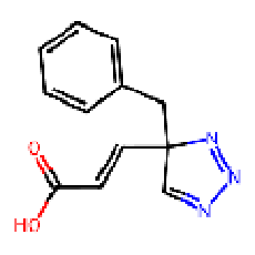 O=C(O)C=CC1(Cc2ccccc2)C=NN=N1